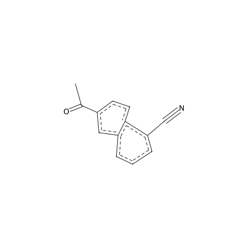 CC(=O)c1ccc2c(C#N)cccc2c1